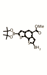 Bc1cc2c(C(=O)OC)cc3cc(B4OC(C)(C)C(C)(C)O4)sc3c2s1